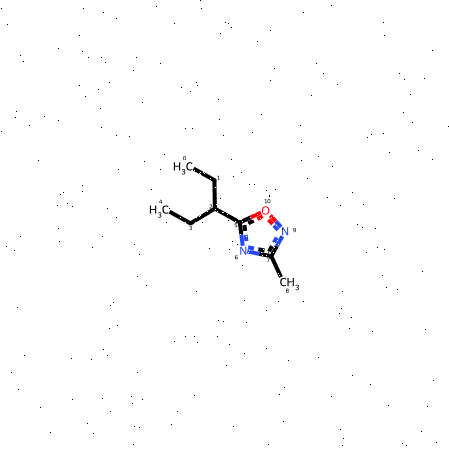 CCC(CC)c1nc(C)no1